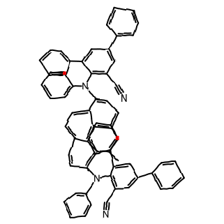 CC1Cc2ccc(N(c3ccccc3)c3c(C#N)cc(-c4ccccc4)cc3-c3ccccc3)c3ccc4ccc(N(c5ccccc5)c5c(C#N)cc(-c6ccccc6)cc5-c5ccccc5)c1c4c23